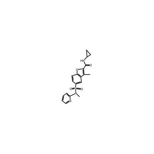 Cc1c(C(=O)NC2CC2)oc2ccc(S(=O)(=O)N(C)c3ccccn3)cc12